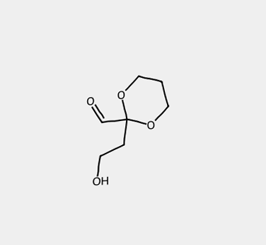 O=CC1(CCO)OCCCO1